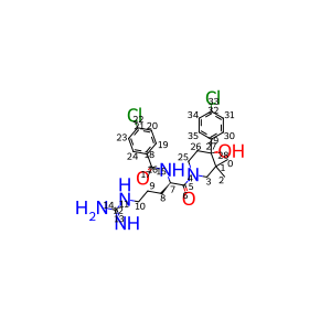 CC1(C)CN(C(=O)[C@@H](CCCNC(=N)N)NC(=O)c2ccc(Cl)cc2)CC[C@]1(O)c1ccc(Cl)cc1